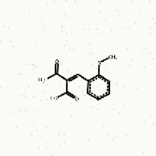 CSc1ccccc1C=C(C(C)=O)C(=O)O